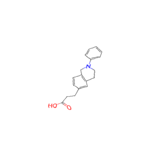 O=C(O)CCc1ccc2c(c1)CCN(c1ccccc1)C2